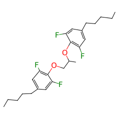 CCCCCc1cc(F)c(OCC(C)Oc2c(F)cc(CCCCC)cc2F)c(F)c1